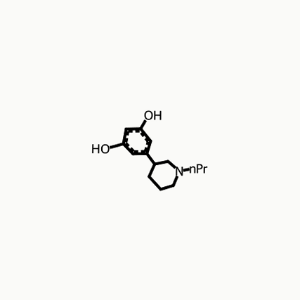 CCCN1CCCC(c2cc(O)cc(O)c2)C1